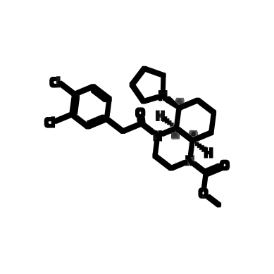 COC(=O)N1CCN(C(=O)Cc2ccc(Cl)c(Cl)c2)[C@@H]2[C@H]1CCC[C@@H]2N1CCCC1